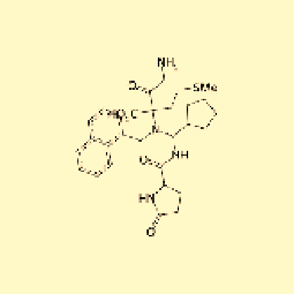 CSCCC(C(=O)O)(C(=O)CN)N(Cc1cccc2ccccc12)C(NC(=O)C1CCC(=O)N1)C1CCCC1